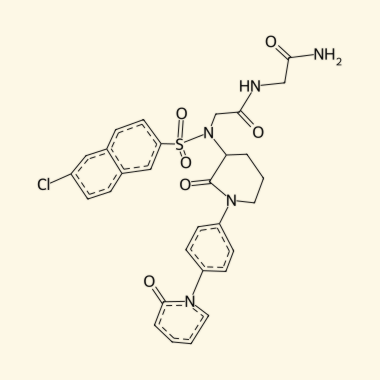 NC(=O)CNC(=O)CN(C1CCCN(c2ccc(-n3ccccc3=O)cc2)C1=O)S(=O)(=O)c1ccc2cc(Cl)ccc2c1